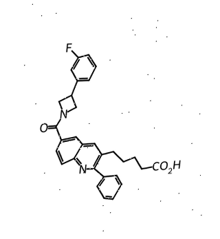 O=C(O)CCCCc1cc2cc(C(=O)N3CC(c4cccc(F)c4)C3)ccc2nc1-c1ccccc1